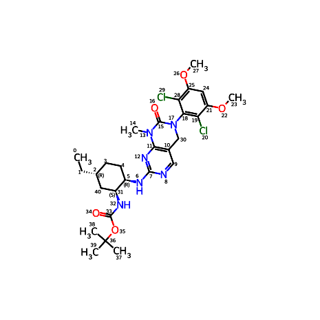 CC[C@@H]1CC[C@@H](Nc2ncc3c(n2)N(C)C(=O)N(c2c(Cl)c(OC)cc(OC)c2Cl)C3)[C@@H](NC(=O)OC(C)(C)C)C1